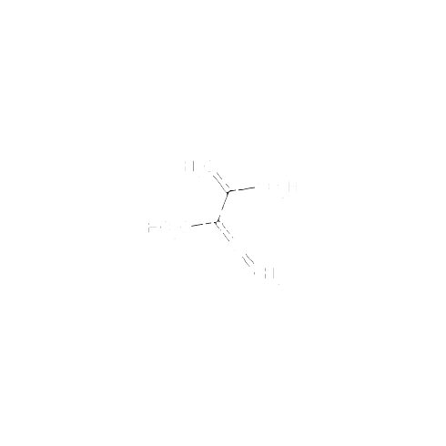 C=C=C(C(=C)C(=O)O)C(=O)O